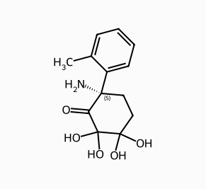 Cc1ccccc1[C@@]1(N)CCC(O)(O)C(O)(O)C1=O